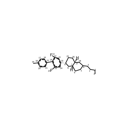 CCCCC1CC[C@@H]2C[C@H](c3cc(F)c(-c4ccc(C)cc4)c(F)c3)CC[C@@H]2C1